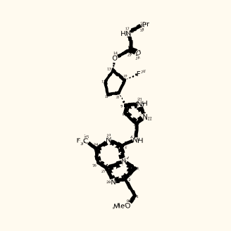 COCc1cn2c(Nc3cc([C@@H]4CC[C@H](OC(=O)NC(C)C)[C@@H]4F)[nH]n3)nc(C(F)(F)F)cc2n1